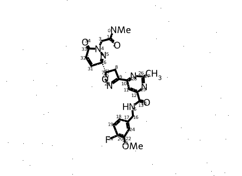 CNC(=O)Cn1nc([C@@H]2CC(c3cc(C(=O)NCc4ccc(F)c(OC)c4)nc(C)n3)=NO2)ccc1=O